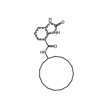 O=C(NC1CCCCCCCCCCCCCC1)c1cccc2[nH]c(=O)[nH]c12